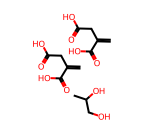 C=C(CC(=O)O)C(=O)O.C=C(CC(=O)O)C(=O)O.CC(O)CO